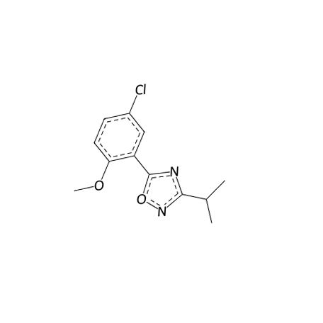 COc1ccc(Cl)cc1-c1nc(C(C)C)no1